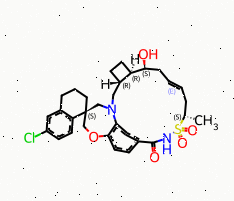 C[C@H]1C/C=C/C[C@H](O)[C@@H]2CC[C@H]2CN2C[C@@]3(CCCc4cc(Cl)ccc43)COc3ccc(cc32)C(=O)NS1(=O)=O